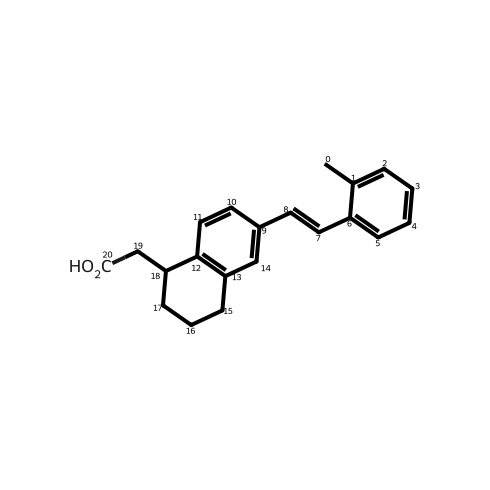 Cc1ccccc1C=Cc1ccc2c(c1)CCCC2CC(=O)O